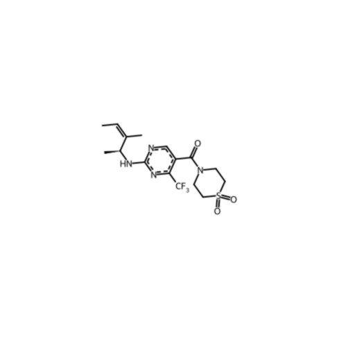 C/C=C(/C)[C@H](C)Nc1ncc(C(=O)N2CCS(=O)(=O)CC2)c(C(F)(F)F)n1